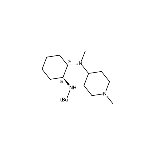 CN1CCC(N(C)[C@H]2CCCC[C@@H]2NC(C)(C)C)CC1